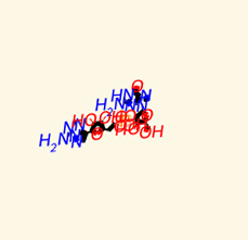 Nc1nc2c(ncn2[C@@H]2O[C@H](CO)[C@@H](O)[C@H]2OP(=O)(O)OCC[C@H]2O[C@@H](c3cnn4c(N)ncnc34)[C@H](O)[C@@H]2O)c(=O)[nH]1